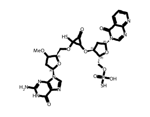 COC1C[C@H](n2cnc3c(=O)[nH]c(N)nc32)O[C@@H]1COC1(S)C(=O)C1O[C@H]1C[C@H](n2cnc3ncccc3c2=O)O[C@@H]1COP(=O)(O)S